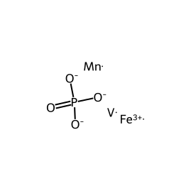 O=P([O-])([O-])[O-].[Fe+3].[Mn].[V]